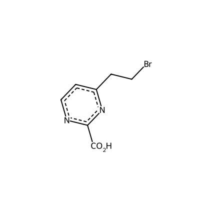 O=C(O)c1nccc(CCBr)n1